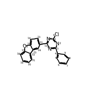 Clc1nc(-c2ccccc2)nc(-c2ccc3oc4ccccc4c3c2)n1